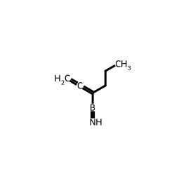 C=C=C(B=N)CCC